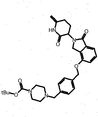 C=C1CCC(N2Cc3c(OCc4ccc(CN5CCN(C(=O)OC(C)(C)C)CC5)cc4)cccc3C2=O)C(=O)N1